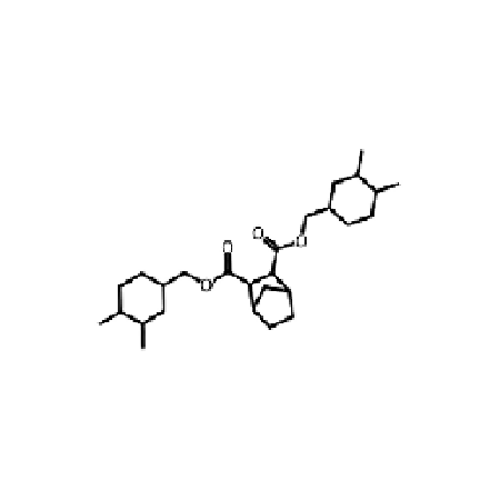 CC1CCC(COC(=O)C2C3CCC(C3)C2C(=O)OCC2CCC(C)C(C)C2)CC1C